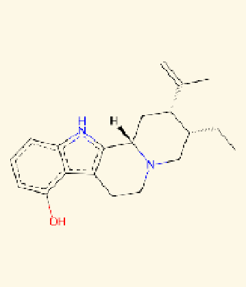 C=C(C)[C@H]1C[C@H]2c3[nH]c4cccc(O)c4c3CCN2C[C@H]1CC